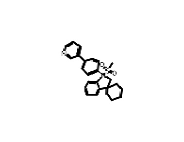 CS(=O)(=O)[N@+]1(c2ccc(-c3cccnc3)cc2)CC2(CCCCC2)c2ccccc21